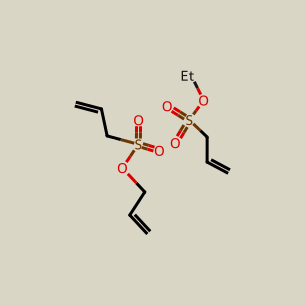 C=CCOS(=O)(=O)CC=C.C=CCS(=O)(=O)OCC